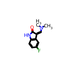 CN(C)C=C1C(=O)Nc2ccc(F)cc21